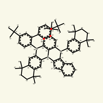 CC(C)(C)c1ccc(-c2cc(C(C)(C)C)ccc2N2c3cc4c(cc3B3c5sc6ccccc6c5N(c5ccc6c(c5)C(C)(C)CCC6(C)C)c5cc(C(C)(C)C)nc2c53)C(C)(C)CCC4(C)C)cc1